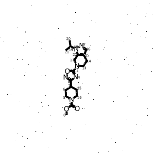 COC(=O)N1CCC(c2noc(N3CCc4cnn(C(C)C)c4C3)n2)CC1